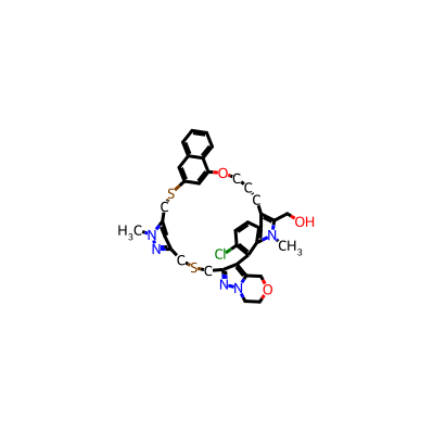 Cn1nc2cc1CSc1cc(c3ccccc3c1)OCCCc1c(CO)n(C)c3c(c(Cl)ccc13)-c1c(nn3c1COCC3)CSC2